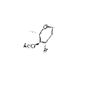 CC(=O)O[C@H]1[C@H](C)O[CH]C[C@@H]1Br